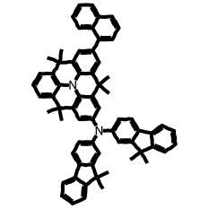 CC1(C)c2ccccc2-c2ccc(N(c3ccc4c(c3)C(C)(C)c3ccccc3-4)c3cc4c5c(c3)C(C)(C)c3cc(-c6cccc7ccccc67)cc6c3N5c3c(cccc3C4(C)C)C6(C)C)cc21